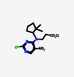 CCOC(=O)CCN(c1nc(Cl)ncc1[N+](=O)[O-])C1CCCC1(C)C